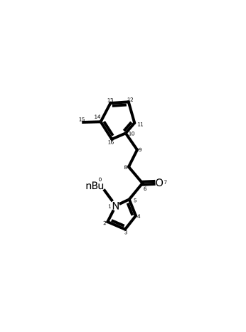 CCCCn1cccc1C(=O)CCc1cccc(C)c1